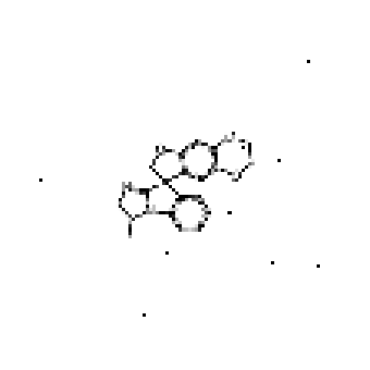 CC1CN=C2N1c1ccccc1C21COc2cc3c(cc21)OCCO3